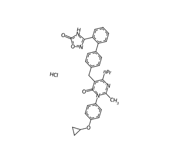 CCCc1nc(C)n(-c2ccc(OC3CC3)cc2)c(=O)c1Cc1ccc(-c2ccccc2-c2noc(=O)[nH]2)cc1.Cl